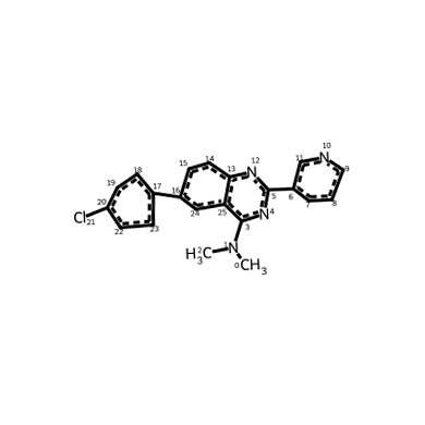 CN(C)c1nc(-c2cccnc2)nc2ccc(-c3ccc(Cl)cc3)cc12